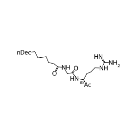 CCCCCCCCCCCCCCCC(=O)NCC(=O)N[C@@H](CCCNC(=N)N)C(C)=O